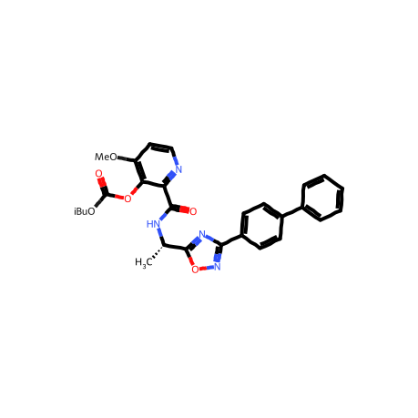 COc1ccnc(C(=O)N[C@@H](C)c2nc(-c3ccc(-c4ccccc4)cc3)no2)c1OC(=O)OCC(C)C